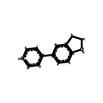 c1cc(-c2ccc3c(c2)CCO3)ccn1